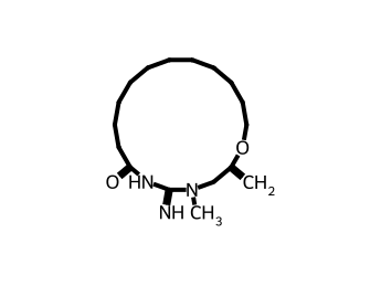 C=C1CN(C)C(=N)NC(=O)CCCCCCCCCCCO1